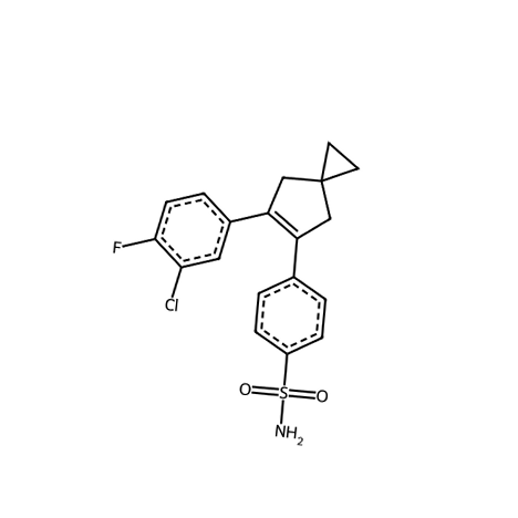 NS(=O)(=O)c1ccc(C2=C(c3ccc(F)c(Cl)c3)CC3(CC3)C2)cc1